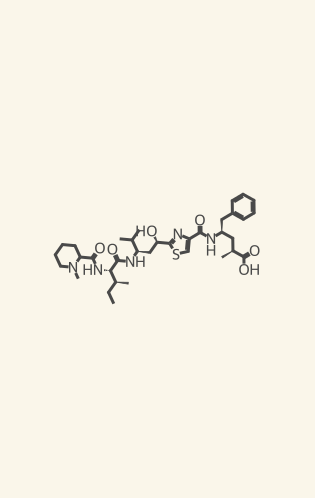 CC[C@H](C)[C@H](NC(=O)C1CCCCN1C)C(=O)N[C@H](C[C@@H](O)c1nc(C(=O)N[C@@H](Cc2ccccc2)C[C@H](C)C(=O)O)cs1)C(C)C